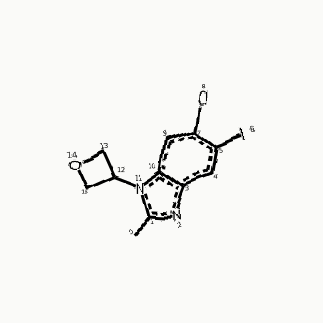 Cc1nc2cc(I)c(Cl)cc2n1C1COC1